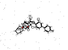 CC(C)(Oc1ccc(-c2ccc(F)cc2)cc1Cl)C(=O)NC1CC2CCC(C1)N2c1ccc(C(N)=O)cn1